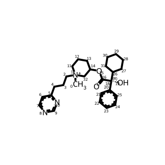 C[N+]1(CCCc2ccncn2)CCCC(OC(=O)[C@](O)(c2ccccc2)C2CCCCC2)C1